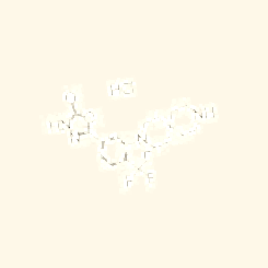 Cl.O=c1[nH]nc(-c2ccc(C(F)(F)F)c(N3CCC4(CCNCC4)CC3)c2)o1